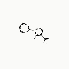 COC(=O)c1cnn(-c2ncccn2)c1Cl